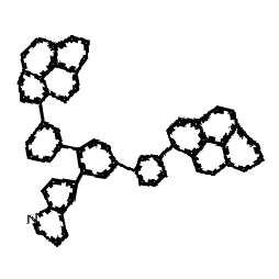 c1cc(-c2ccc(-c3cccc(-c4ccc5ccc6cccc7ccc4c5c67)c3)c(-c3ccc4ncccc4c3)c2)cc(-c2ccc3ccc4cccc5ccc2c3c45)c1